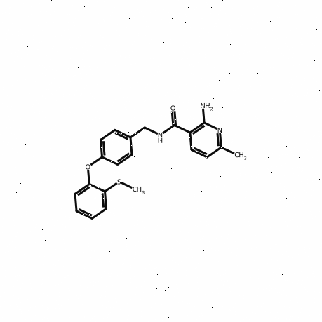 CSc1ccccc1Oc1ccc(CNC(=O)c2ccc(C)nc2N)cc1